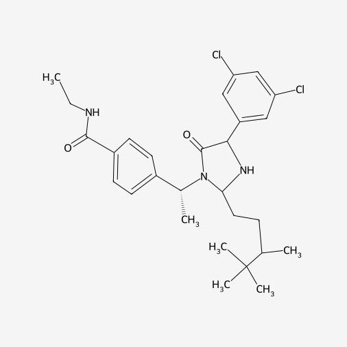 CCNC(=O)c1ccc([C@@H](C)N2C(=O)C(c3cc(Cl)cc(Cl)c3)NC2CCC(C)C(C)(C)C)cc1